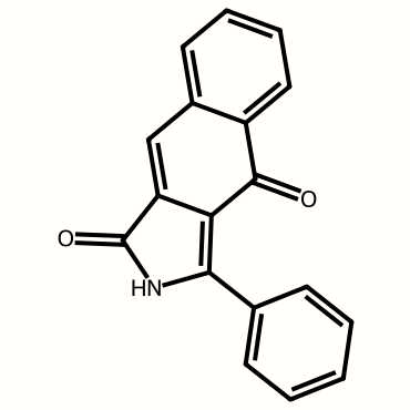 O=C1NC(c2ccccc2)=C2C(=O)c3ccccc3C=C12